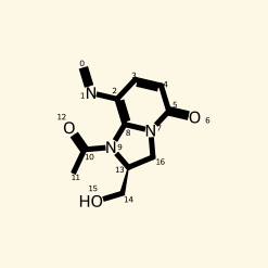 C=Nc1ccc(=O)n2c1N(C(C)=O)[C@H](CO)C2